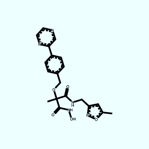 Cc1cc(CNC(=O)C(C)(OCc2ccc(-c3cnccn3)cc2)C(=O)NO)no1